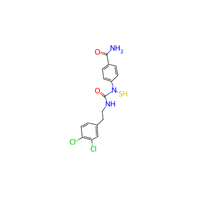 NC(=O)c1ccc(N(S)C(=O)NCCc2ccc(Cl)c(Cl)c2)cc1